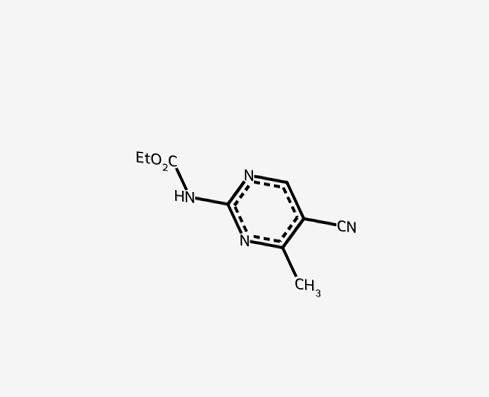 CCOC(=O)Nc1ncc(C#N)c(C)n1